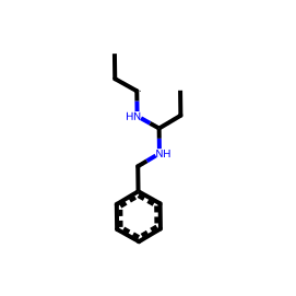 CC[CH]NC(CC)NCc1ccccc1